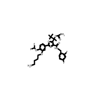 CC(C)(C)C(C)(OC(N)=O)c1oc(-c2ccc(OC(F)F)c(OCCCCN)c2)nc1C(=O)NCc1ccc(F)cc1F